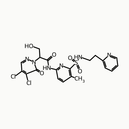 Cc1ccc(NC(=O)C(CO)n2ncc(Cl)c(Cl)c2=O)nc1S(=O)(=O)NCCc1ccccn1